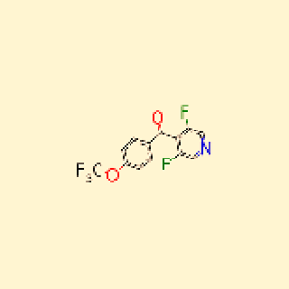 O=C(c1ccc(OC(F)(F)F)cc1)c1c(F)cncc1F